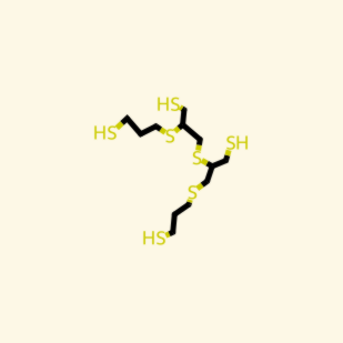 SCCCSCC(CS)SCC(CS)SCCCS